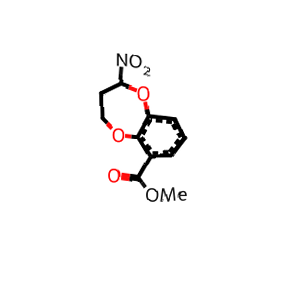 COC(=O)c1cccc2c1OCCC([N+](=O)[O-])O2